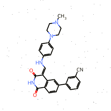 CN1CCN(c2ccc(NC=C3C(=O)NC(=O)c4ccc(-c5cccc(C#N)c5)cc43)cc2)CC1